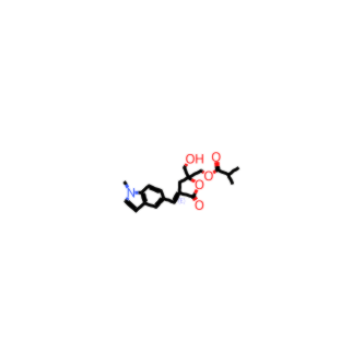 CC(C)C(=O)OCC1(CO)C/C(=C\c2ccc3c(ccn3C)c2)C(=O)O1